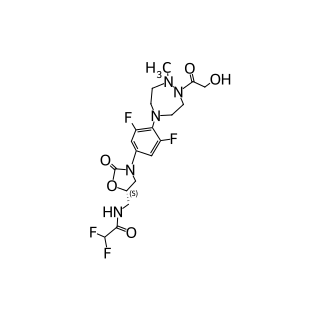 CN1CCN(c2c(F)cc(N3C[C@H](CNC(=O)C(F)F)OC3=O)cc2F)CCN1C(=O)CO